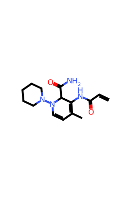 C=CC(=O)NC1=C(C)C=CN(N2CCCCC2)C1C(N)=O